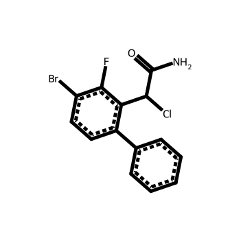 NC(=O)C(Cl)c1c(-c2ccccc2)ccc(Br)c1F